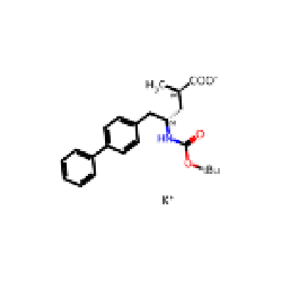 C[C@H](C[C@@H](Cc1ccc(-c2ccccc2)cc1)NC(=O)OC(C)(C)C)C(=O)[O-].[K+]